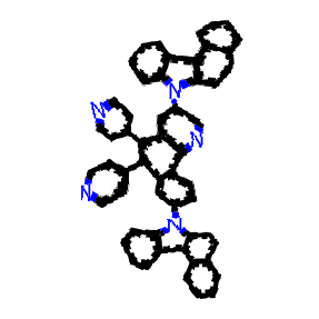 c1ccc2c(c1)ccc1c2c2ccccc2n1-c1ccc2c(c1)c(-c1ccncc1)c(-c1ccncc1)c1cc(-n3c4ccccc4c4c5ccccc5ccc43)cnc12